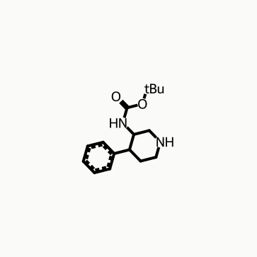 CC(C)(C)OC(=O)NC1CNCCC1c1ccccc1